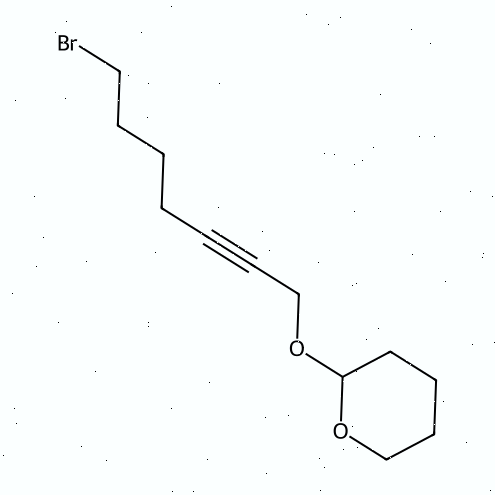 BrCCCCC#CCOC1CCCCO1